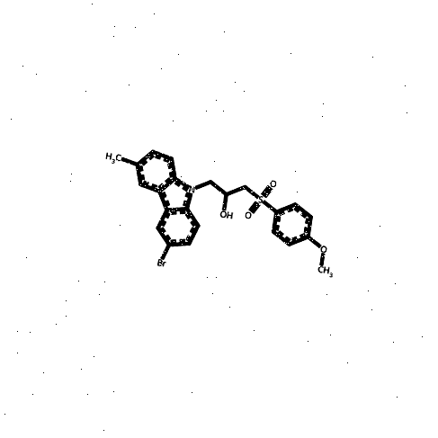 COc1ccc(S(=O)(=O)CC(O)Cn2c3ccc(C)cc3c3cc(Br)ccc32)cc1